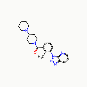 Cc1c(C(=O)N2CCC(N3CCCCC3)CC2)cccc1-n1nnc2cccnc21